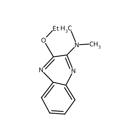 CCOc1nc2ccccc2nc1N(C)C